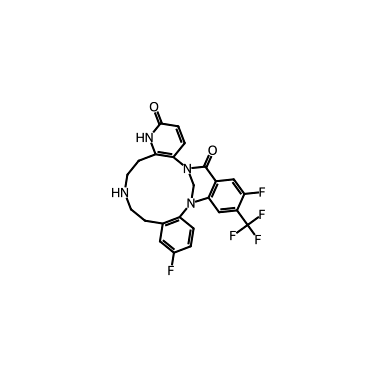 O=C1c2cc(F)c(C(F)(F)F)cc2N2CN1c1ccc(=O)[nH]c1CCNCCc1cc(F)ccc12